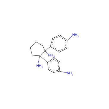 Nc1ccc(C2(N)CCCCC2(N)c2ccc(N)cc2)cc1